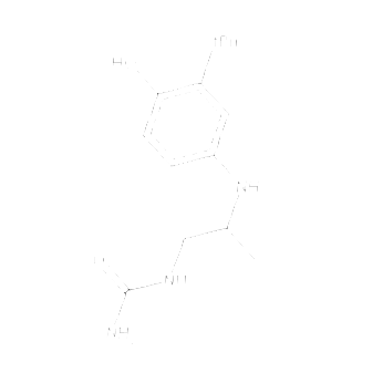 CC(CNC(N)=O)Nc1ccc(O)c(C(C)(C)C)c1